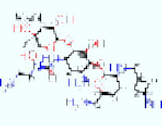 CN[C@@H]1[C@@H](O)[C@@H](O[C@H]2[C@H](NC(=O)N(O)CCN)C[C@H](N)C(O[C@H]3OC(CN)=CC[C@H]3NCC3CC(N)C3)[C@@H]2O)OC[C@]1(C)O